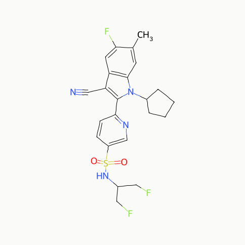 Cc1cc2c(cc1F)c(C#N)c(-c1ccc(S(=O)(=O)NC(CF)CF)cn1)n2C1CCCC1